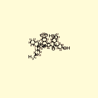 CN1CCN(C[C@@H]2Cc3ccccc3CN2C(=O)c2cc3c(cc2-c2cc(C(=O)N(c4ccc(O)cc4)c4ccc5[nH]ccc5c4)cn2C)OCO3)CC1